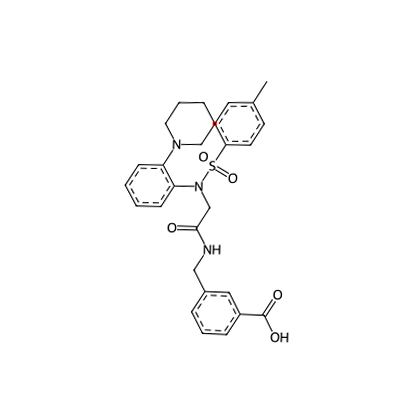 Cc1ccc(S(=O)(=O)N(CC(=O)NCc2cccc(C(=O)O)c2)c2ccccc2N2CCCCC2)cc1